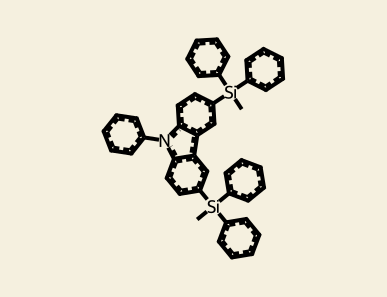 C[Si](c1ccccc1)(c1ccccc1)c1ccc2c(c1)c1cc([Si](C)(c3ccccc3)c3ccccc3)ccc1n2-c1ccccc1